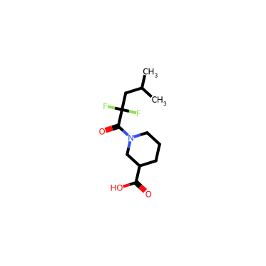 CC(C)CC(F)(F)C(=O)N1CCCC(C(=O)O)C1